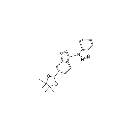 CC1(C)OC(c2ccc3c(-n4nnc5ccccc54)csc3c2)OC1(C)C